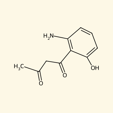 CC(=O)CC(=O)c1c(N)cccc1O